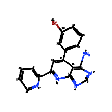 Nc1ncnc2nc(-c3ccccn3)cc(-c3cccc(Br)c3)c12